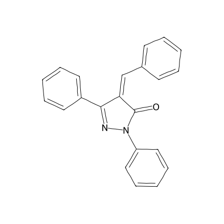 O=C1C(=Cc2ccccc2)C(c2ccccc2)=NN1c1ccccc1